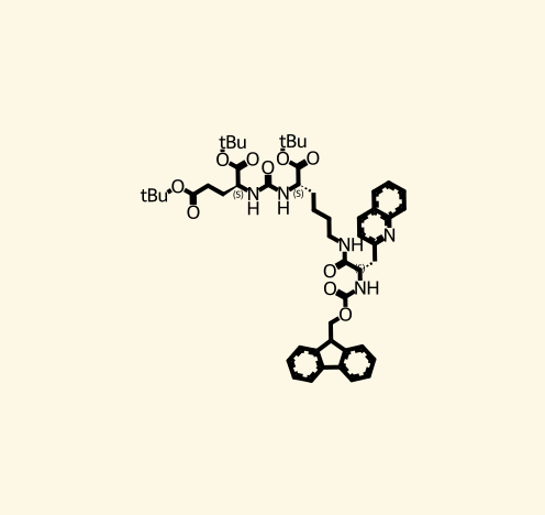 CC(C)(C)OC(=O)CC[C@H](NC(=O)N[C@@H](CCCCNC(=O)[C@H](Cc1ccc2ccccc2n1)NC(=O)OCC1c2ccccc2-c2ccccc21)C(=O)OC(C)(C)C)C(=O)OC(C)(C)C